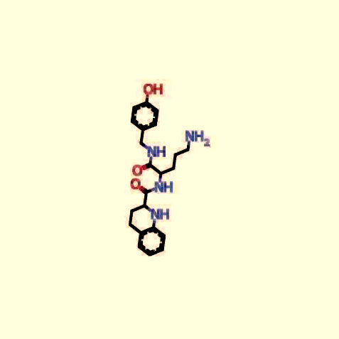 NCCCC(NC(=O)C1CCc2ccccc2N1)C(=O)NCc1ccc(O)cc1